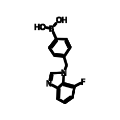 OB(O)c1ccc(Cn2cnc3cccc(F)c32)cc1